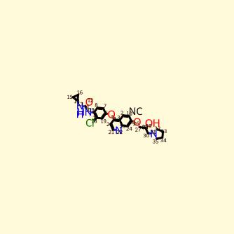 [C-]#[N+]c1cc2c(Oc3ccc(NC(=O)NC4CC4)c(Cl)c3)ccnc2cc1OC[C@@H](O)CN1CCCC1